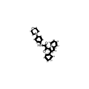 O=C(Nc1ccc(N2CCOCC2)cc1)C(=O)c1c(-c2ccccc2)cc2ccccn12